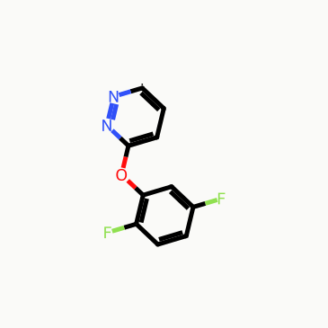 Fc1ccc(F)c(Oc2cc[c]nn2)c1